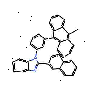 Cc1c2ccccc2c(-c2cccc(-n3c(-c4ccc5ccccc5c4)nc4ccccc43)c2)c2ccccc12